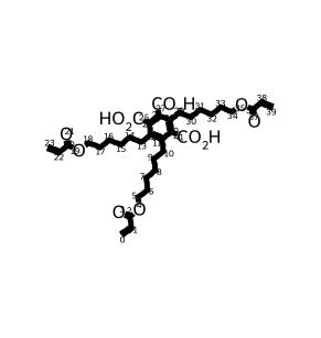 C=CC(=O)OCCCCCCc1c(CCCCCCOC(=O)C=C)c(C(=O)O)c(C(=O)O)c(CCCCCCOC(=O)C=C)c1C(=O)O